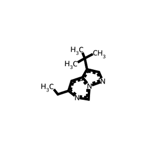 CCc1cc2c(C(C)(C)C)cnn2cn1